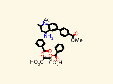 COC(=O)c1ccc(-c2ccc3c(c2)C(N)CC(C)N3C(C)=O)cc1.O=C(O[C@H](C(=O)O)[C@H](OC(=O)c1ccccc1)C(=O)O)c1ccccc1